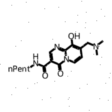 CCCCCNC(=O)c1cnc2c(O)c(CN(C)C)ccn2c1=O